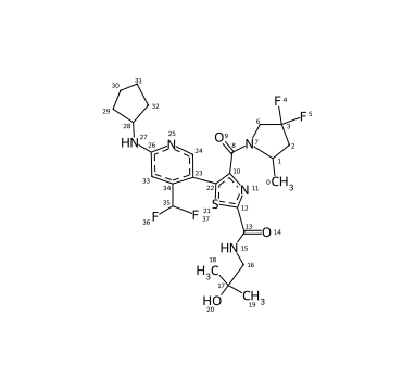 CC1CC(F)(F)CN1C(=O)c1nc(C(=O)NCC(C)(C)O)sc1-c1cnc(NC2CCCC2)cc1C(F)F